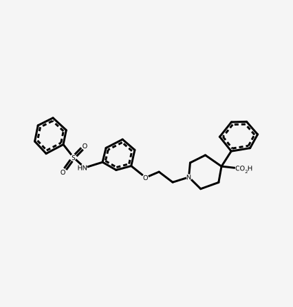 O=C(O)C1(c2ccccc2)CCN(CCOc2cccc(NS(=O)(=O)c3ccccc3)c2)CC1